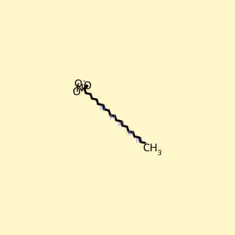 CC/C=C/C/C=C/C/C=C/C/C=C/C/C=C/CCCCCC(=O)[N+](=O)[O-]